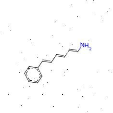 NC=CC=CC=Cc1ccccc1